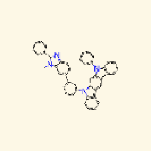 Cn1c(-c2ccccc2)nc2ccc(-c3cccc(-n4c5ccccc5c5cc6c7ccccc7n(-c7ccccc7)c6cc54)c3)cc21